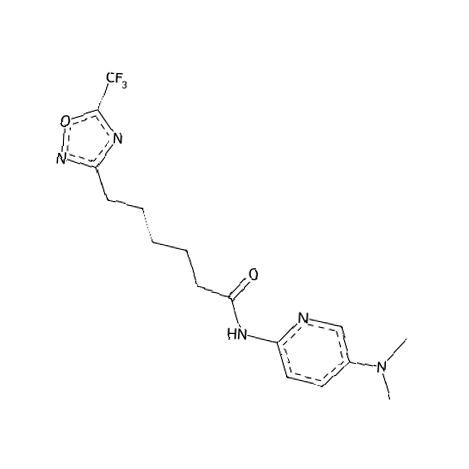 CN(C)c1ccc(NC(=O)CCCCCc2noc(C(F)(F)F)n2)nc1